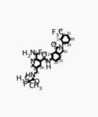 CC(C)(F)C(=O)NCc1cnc(C(N)F)c(C(=O)Nc2ccc3c(c2)C(=O)N(c2cccc(C(F)(F)F)c2)C3)c1